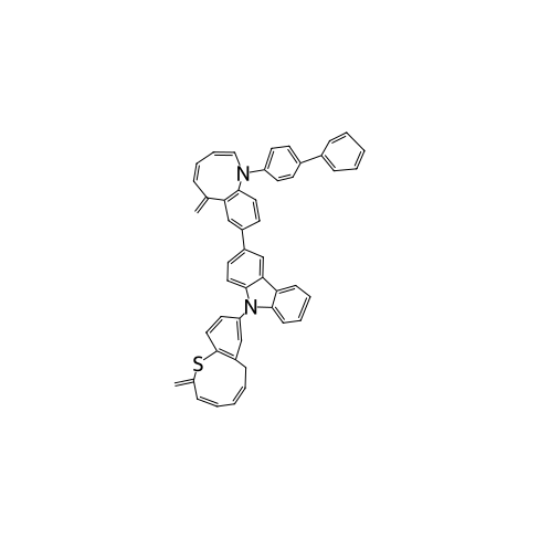 C=C1/C=C\C=C/Cc2cc(-n3c4ccccc4c4cc(-c5ccc6c(c5)C(=C)/C=C\C=C/N6c5ccc(-c6ccccc6)cc5)ccc43)ccc2S1